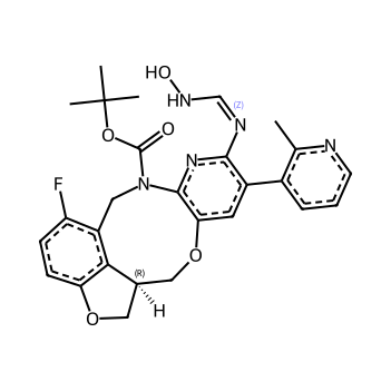 Cc1ncccc1-c1cc2c(nc1/N=C\NO)N(C(=O)OC(C)(C)C)Cc1c(F)ccc3c1[C@@H](CO2)CO3